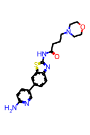 Nc1ccc(-c2ccc3nc(NC(=O)CCCN4CCOCC4)sc3c2)cn1